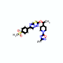 CC(C)c1noc(N2CCC(C(C)Oc3nn4cc(-c5ccc(S(C)(=O)=O)cc5)nc4s3)CC2)n1